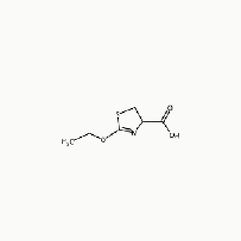 CCOC1=NC(C(=O)O)CS1